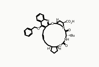 CC(C)(C)[C@@H]1NC(=O)O[C@@H]2CCC[C@H]2CCC=CCc2c(nc3ccccc3c2OCc2ccccc2)O[C@@H]2C[C@@H](C(=O)O)N(C2)C1=O